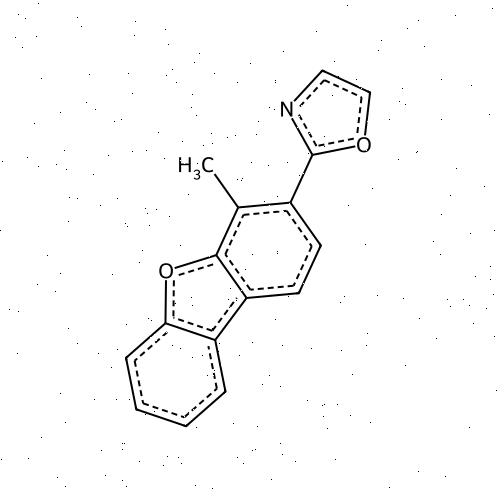 Cc1c(-c2ncco2)ccc2c1oc1ccccc12